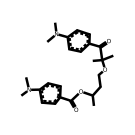 CC(CCOC(C)(C)C(=O)c1ccc(N(C)C)cc1)OC(=O)c1ccc(N(C)C)cc1